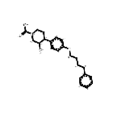 O=C(O)N1CCC(c2ccc(OCCCCc3ccccc3)cc2)C(O)C1